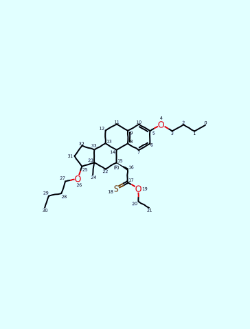 CCCCOc1ccc2c(c1)CCC1C2[C@@H](CC(=S)OCC)CC2(C)C(OCCCC)CCC12